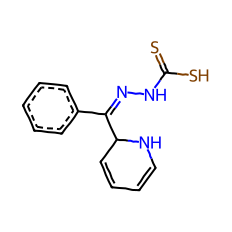 S=C(S)NN=C(c1ccccc1)C1C=CC=CN1